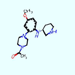 COc1ccc(N[C@@H]2CCCNC2)c(N2CCN(C(C)=O)CC2)c1